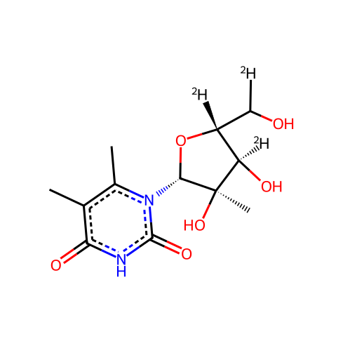 [2H]C(O)[C@@]1([2H])O[C@@H](n2c(C)c(C)c(=O)[nH]c2=O)[C@](C)(O)[C@]1([2H])O